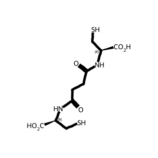 O=C(CCC(=O)N[C@@H](CS)C(=O)O)N[C@@H](CS)C(=O)O